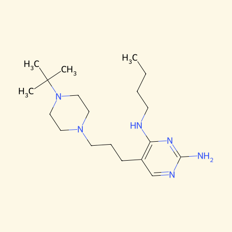 CCCCNc1nc(N)ncc1CCCN1CCN(C(C)(C)C)CC1